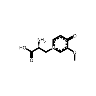 COc1cn(C[C@H](N)C(=O)O)ccc1=O